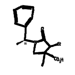 CCC1C(=O)N([C@H](C)c2ccccc2)CC1(C)C(=O)O